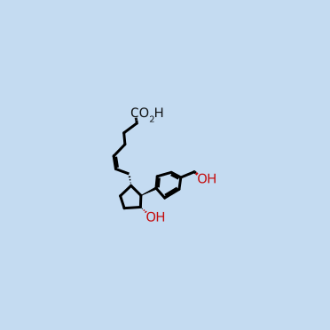 O=C(O)CCC/C=C\C[C@H]1CC[C@@H](O)[C@@H]1c1ccc(CO)cc1